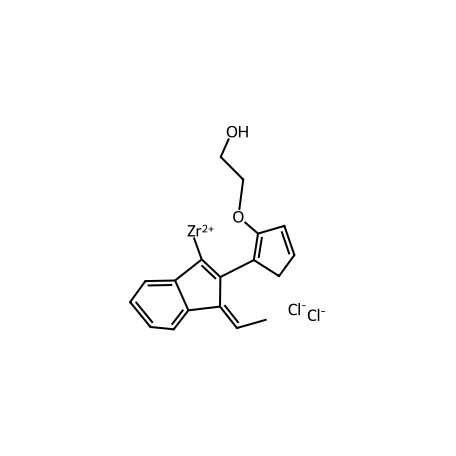 CC=C1C(C2=C(OCCO)C=CC2)=[C]([Zr+2])c2ccccc21.[Cl-].[Cl-]